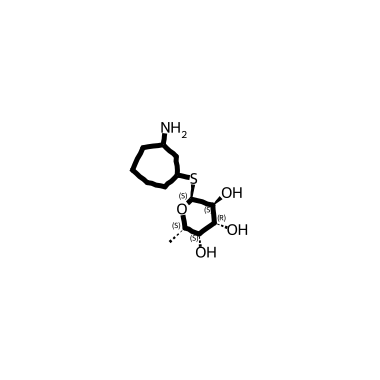 C[C@@H]1O[C@@H](SC2CCCCC(N)C2)[C@@H](O)[C@H](O)[C@@H]1O